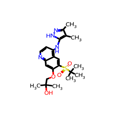 Cc1n[nH]c(Nc2ccnc3cc(OCC(C)(C)O)c(S(=O)(=O)C(C)(C)C)cc23)c1C